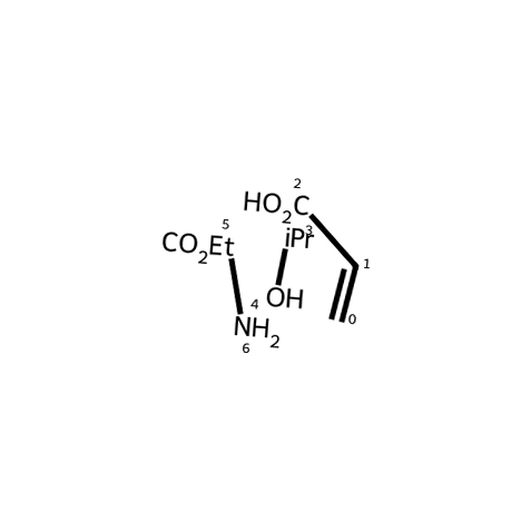 C=CC(=O)O.CC(C)O.CCOC(N)=O